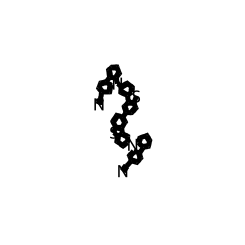 N#Cc1ccc2c3ccccc3n(-c3ccc4sc5ccc(-c6ccc7sc8ccc(-n9c%10ccccc%10c%10ccc(C#N)cc%109)cc8c7c6)cc5c4c3)c2c1